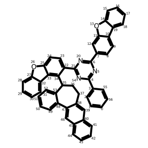 c1ccc(-c2nc(-c3ccc4c(c3)oc3ccccc34)nc(-c3ccc4oc5ccccc5c4c3C3CCc4cc5ccccc5cc4-c4ccccc43)n2)cc1